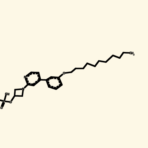 CCCCCCCCCCCOc1cccc(-c2ccnc(N3CC(OP(=O)(O)O)C3)c2)c1